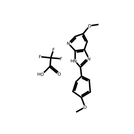 COc1ccc(-c2nc3cc(OC)cnc3[nH]2)cc1.O=C(O)C(F)(F)F